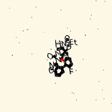 CCS(=O)(=O)N[C@@H]1CN2C(=O)N(c3noc4cccc(-c5c(F)cccc5F)c34)C[C@@H]2C1(C)C